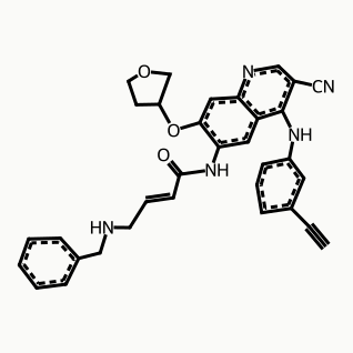 C#Cc1cccc(Nc2c(C#N)cnc3cc(OC4CCOC4)c(NC(=O)/C=C/CNCc4ccccc4)cc23)c1